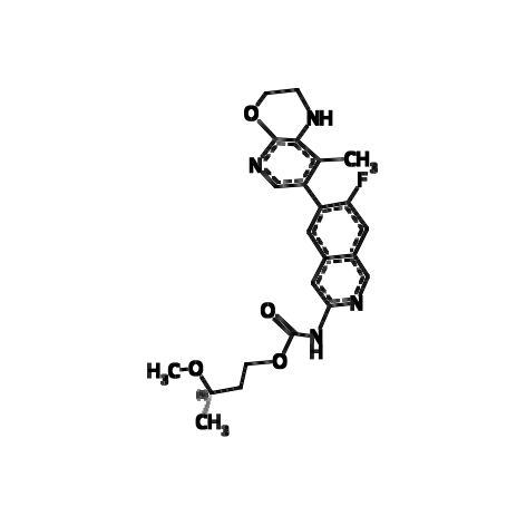 CO[C@@H](C)CCOC(=O)Nc1cc2cc(-c3cnc4c(c3C)NCCO4)c(F)cc2cn1